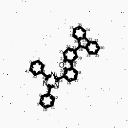 c1ccc(-c2nc(-c3ccccc3)nc(-c3cccc4c3oc3ccc(C5c6ccccc6-c6ccccc65)cc34)n2)cc1